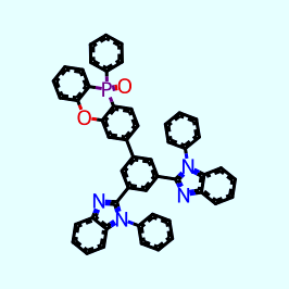 O=P1(c2ccccc2)c2ccccc2Oc2cc(-c3cc(-c4nc5ccccc5n4-c4ccccc4)cc(-c4nc5ccccc5n4-c4ccccc4)c3)ccc21